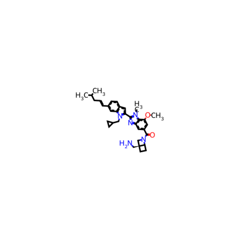 COc1cc(C(=O)N2C[C@@]3(CN)CCC23)cc2nc(-c3cc4ccc(/C=C/CC(C)C)cc4n3CC3CC3)n(C)c12